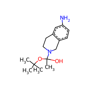 CC(C)(C)OC(C)(O)N1CCc2cc(N)ccc2C1